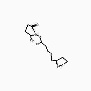 O=C1CCC(O)N1OC(O)CCCCC1CCSS1